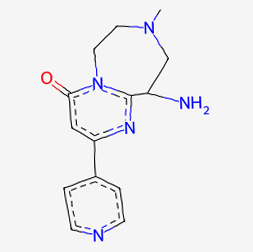 CN1CCn2c(nc(-c3ccncc3)cc2=O)C(N)C1